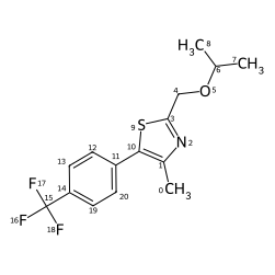 Cc1nc(COC(C)C)sc1-c1ccc(C(F)(F)F)cc1